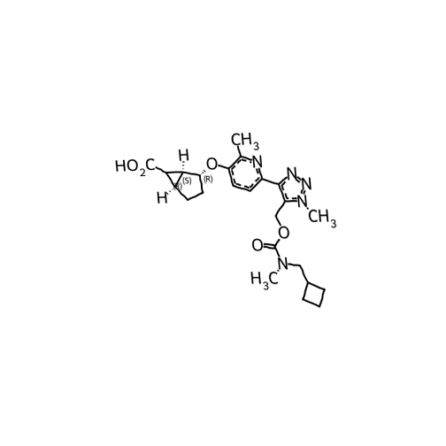 Cc1nc(-c2nnn(C)c2COC(=O)N(C)CC2CCC2)ccc1O[C@@H]1CC[C@H]2C(C(=O)O)[C@@H]12